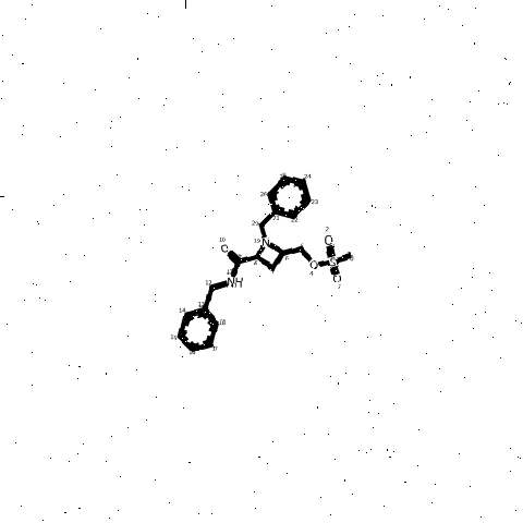 CS(=O)(=O)OCC1CC(C(=O)NCc2ccccc2)N1Cc1ccccc1